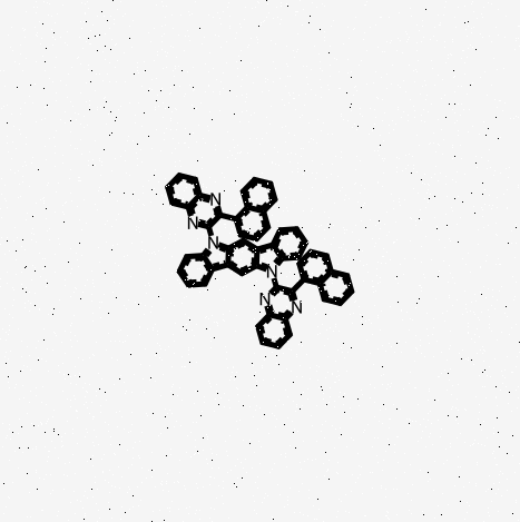 c1ccc2c(-c3nc4ccccc4nc3-n3c4ccccc4c4cc5c(cc43)c3ccccc3n5-c3nc4ccccc4nc3-c3cccc4ccccc34)cccc2c1